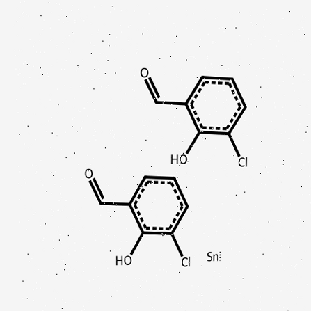 O=Cc1cccc(Cl)c1O.O=Cc1cccc(Cl)c1O.[Sn]